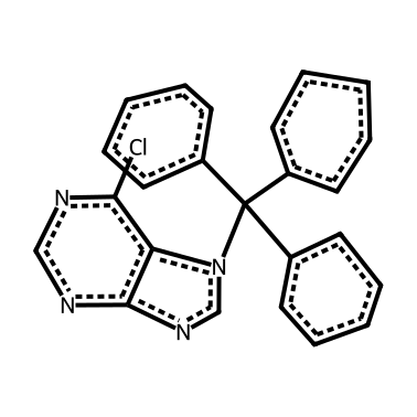 Clc1ncnc2ncn(C(c3ccccc3)(c3ccccc3)c3ccccc3)c12